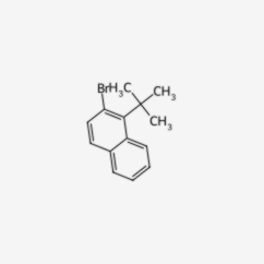 CC(C)(C)c1c(Br)ccc2ccccc12